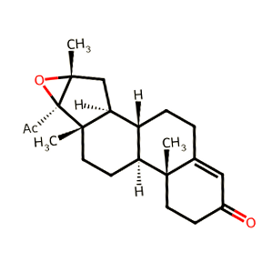 CC(=O)[C@]12O[C@]1(C)C[C@H]1[C@@H]3CCC4=CC(=O)CC[C@]4(C)[C@H]3CC[C@@]12C